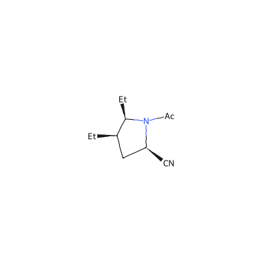 CC[C@@H]1C[C@H](C#N)N(C(C)=O)[C@@H]1CC